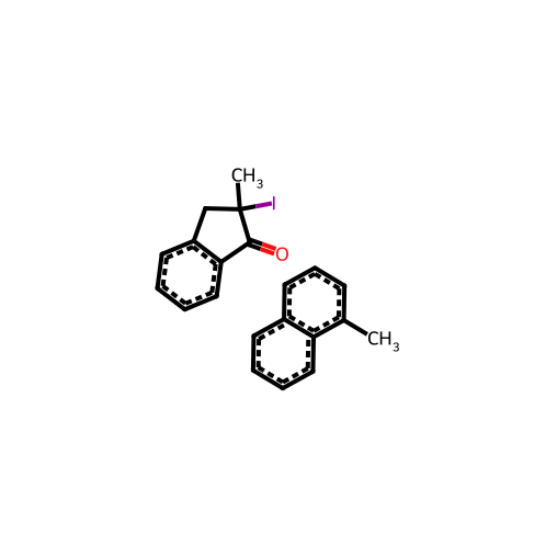 CC1(I)Cc2ccccc2C1=O.Cc1cccc2ccccc12